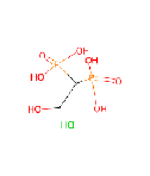 Cl.O=P(O)(O)C(CO)P(=O)(O)O